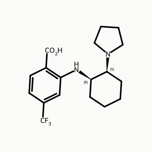 O=C(O)c1ccc(C(F)(F)F)cc1N[C@@H]1CCCC[C@@H]1N1CCCC1